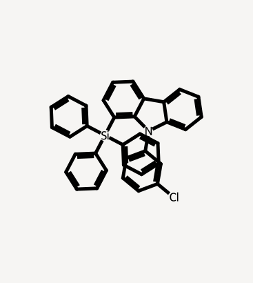 Clc1cccc(-n2c3ccccc3c3cccc([Si](c4ccccc4)(c4ccccc4)c4ccccc4)c32)c1